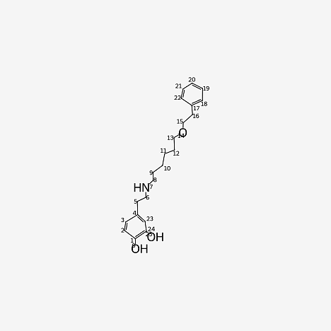 Oc1ccc(CCNCCCCCCOCCc2ccccc2)cc1O